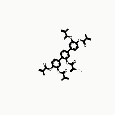 C=C(C)C(=O)Oc1ccc(-c2ccc(-c3ccc(OC(=O)C(=C)C)c(OC(=O)C(=C)C)c3)c(OC(=O)C(=C)C(F)(F)F)c2)cc1OC(=O)C(=C)C